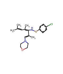 CC(C)=C/C(C)=C(NSc1ccc(Cl)cc1)\C(C)=C\N1CCOCC1